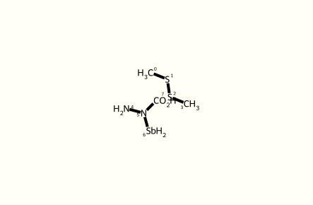 CSSC.N[N]([SbH2])C(=O)O